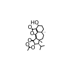 CC(=O)O[C@H]1C(=O)C2=C3OC(=O)C4=C3[C@@](C)(CC[C@@H]4O)CC[C@]2(C)[C@H]1C(C)C